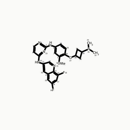 COc1cc(Nc2nccc(Nc3cnc4c(F)cc(F)cc4c3)n2)ccc1OC1CC(N(C)C)C1